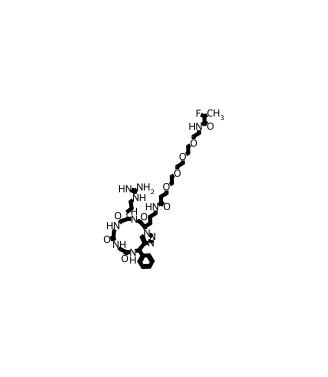 CC(F)C(=O)NCCOCCOCCOCCOCCC(=O)NCCCC1C(=O)N[C@@H](CCCNC(=N)N)C(=O)NCC(=O)NCC(=O)NC(c2ccccc2)c2cn1nn2